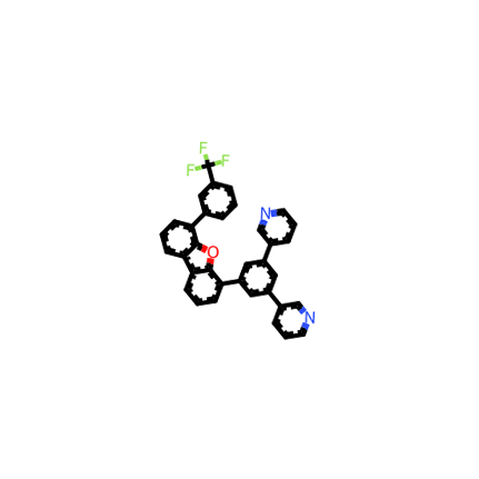 FC(F)(F)c1cccc(-c2cccc3c2oc2c(-c4cc(-c5cccnc5)cc(-c5cccnc5)c4)cccc23)c1